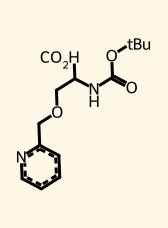 CC(C)(C)OC(=O)NC(COCc1ccccn1)C(=O)O